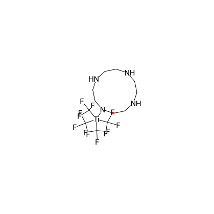 F[C](F)(F)[Ti]([N]1CCNCCNCCNCC1)([C](F)(F)F)([C](F)(F)F)[C](F)(F)F